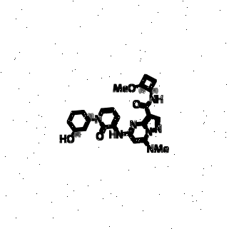 CNc1cc(Nc2cccn([C@H]3CCC[C@@H](O)C3)c2=O)nc2c(C(=O)N[C@H]3CC[C@@H]3OC)cnn12